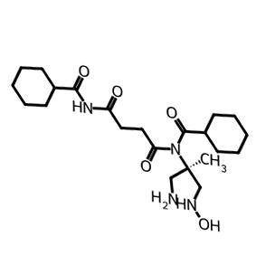 C[C@@](CN)(CNO)N(C(=O)CCC(=O)NC(=O)C1CCCCC1)C(=O)C1CCCCC1